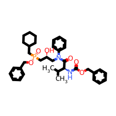 CC(C)[C@H](NC(=O)OCc1ccccc1)C(=O)N(C[C@@H](O)CP(=O)(CC1CCCCC1)OCc1ccccc1)c1ccccc1